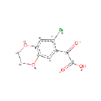 O=C(O)C(=O)c1cc2c(cc1Br)OCCO2